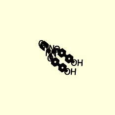 Oc1ccc(-c2ccc(Oc3nc(Oc4ccc(-c5ccc(O)cc5)cc4)nc(N4CCOCC4)n3)cc2)cc1